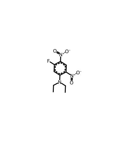 CCN(CC)c1cc(F)c([N+](=O)[O-])cc1[N+](=O)[O-]